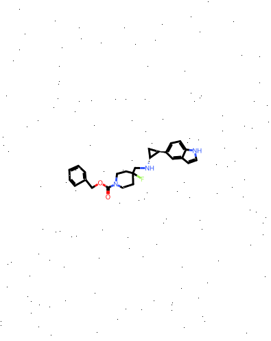 O=C(OCc1ccccc1)N1CCC(F)(CN[C@@H]2C[C@H]2c2ccc3[nH]ccc3c2)CC1